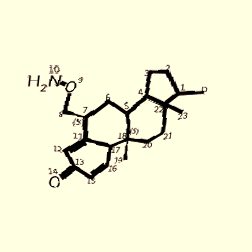 CC1CCC2C3C[C@H](CON)C4=CC(=O)C=CC4[C@@]3(C)CCC12C